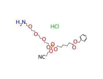 Cl.N#CCCOP(=O)(OCCCCCC(=O)OCc1ccccc1)OCCOCCOCCOCCN